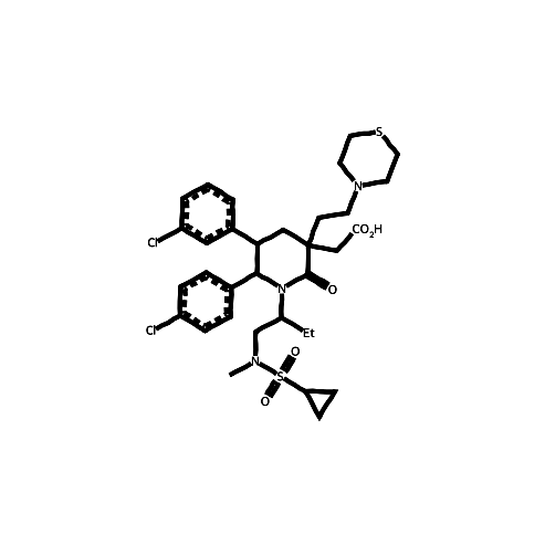 CCC(CN(C)S(=O)(=O)C1CC1)N1C(=O)C(CCN2CCSCC2)(CC(=O)O)CC(c2cccc(Cl)c2)C1c1ccc(Cl)cc1